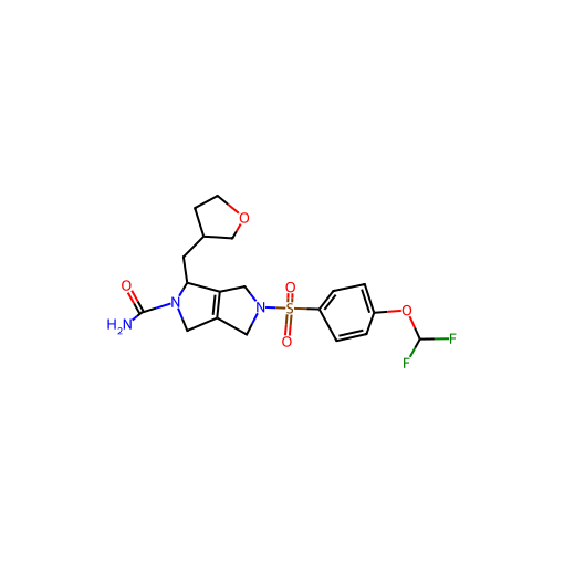 NC(=O)N1CC2=C(CN(S(=O)(=O)c3ccc(OC(F)F)cc3)C2)C1CC1CCOC1